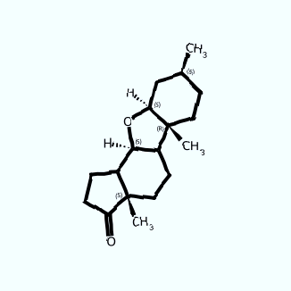 C[C@H]1CC[C@]2(C)C3CC[C@]4(C)C(=O)CCC4[C@H]3O[C@H]2C1